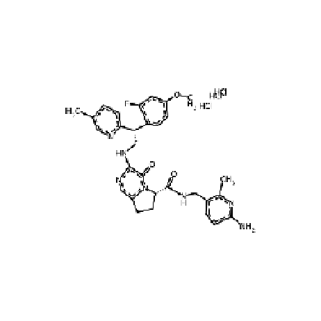 COc1ccc([C@H](CNc2ncc3n(c2=O)[C@H](C(=O)NCc2ccc(N)nc2C)CC3)c2ccc(C)cn2)c(F)c1.Cl.Cl.Cl